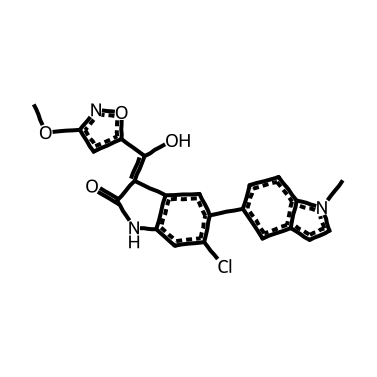 COc1cc(/C(O)=C2\C(=O)Nc3cc(Cl)c(-c4ccc5c(ccn5C)c4)cc32)on1